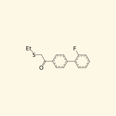 CCSCC(=O)c1ccc(-c2ccccc2F)cc1